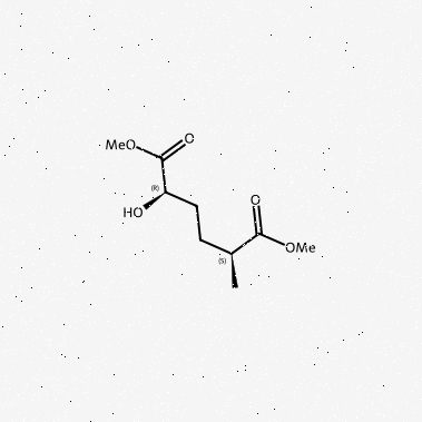 COC(=O)[C@H](O)CC[C@H](C)C(=O)OC